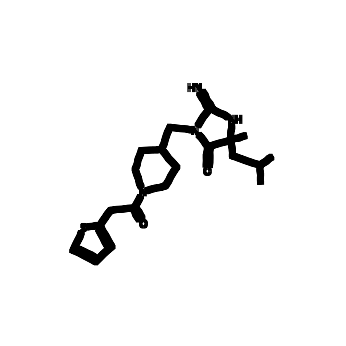 CC(C)CC1(C)NC(=N)N(CC2CCN(C(=O)Cc3cccs3)CC2)C1=O